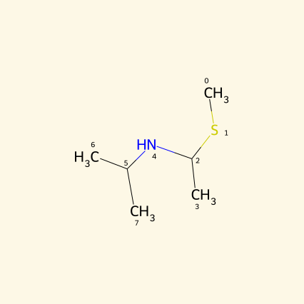 CSC(C)NC(C)C